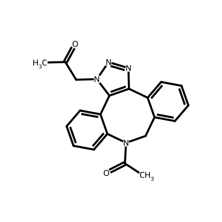 CC(=O)Cn1nnc2c1-c1ccccc1N(C(C)=O)Cc1ccccc1-2